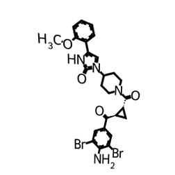 COc1ccccc1-c1cn(C2CCN(C(=O)[C@@H]3C[C@H]3C(=O)c3cc(Br)c(N)c(Br)c3)CC2)c(=O)[nH]1